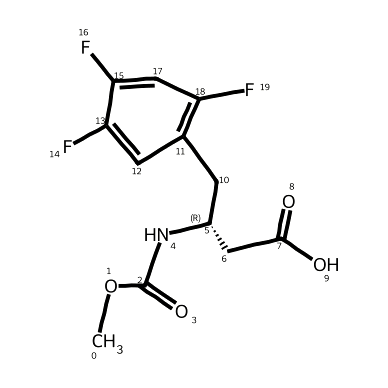 COC(=O)N[C@@H](CC(=O)O)Cc1cc(F)c(F)cc1F